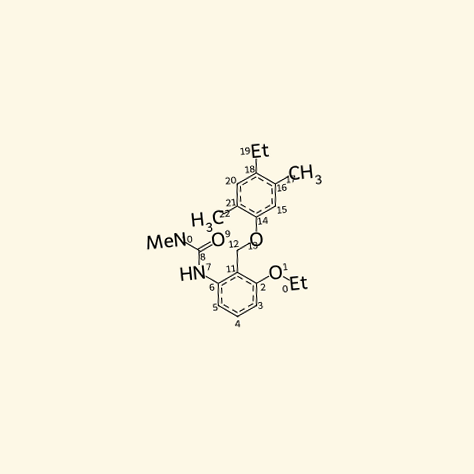 CCOc1cccc(NC(=O)NC)c1COc1cc(C)c(CC)cc1C